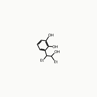 CCC(O)C(CC)c1cccc(O)c1O